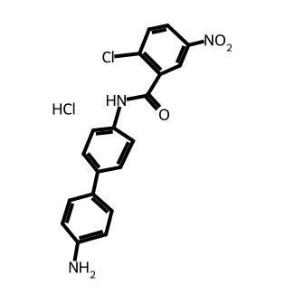 Cl.Nc1ccc(-c2ccc(NC(=O)c3cc([N+](=O)[O-])ccc3Cl)cc2)cc1